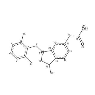 Cc1cccc(C)c1CN1CC(C)c2ccc(CC(=O)O)cc21